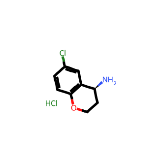 Cl.N[C@H]1CCOc2ccc(Cl)cc21